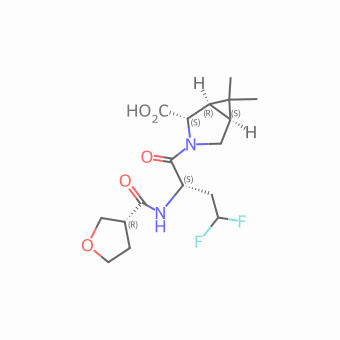 CC1(C)[C@@H]2[C@@H](C(=O)O)N(C(=O)[C@H](CC(F)F)NC(=O)[C@@H]3CCOC3)C[C@@H]21